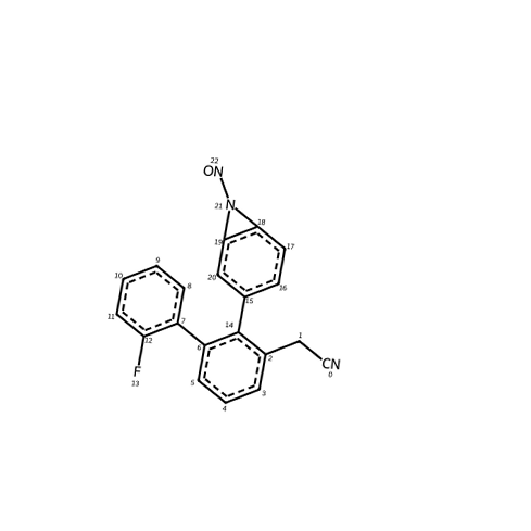 N#CCc1cccc(-c2ccccc2F)c1-c1ccc2c(c1)N2N=O